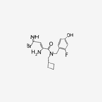 N=C(Br)/C=C(\N)C(=O)N(Cc1ccc(O)cc1F)CC1CCC1